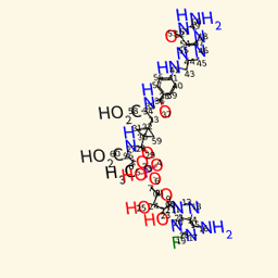 CC(OP(=O)(O)OC[C@H]1O[C@@H](n2cnc3c(N)nc(F)nc32)C(O)C1O)C(NC(=O)C12CC1(CC(NC(=O)c1ccc(NCc3cnc4nc(N)[nH]c(=O)c4n3)cc1)C(=O)O)C2)C(=O)O